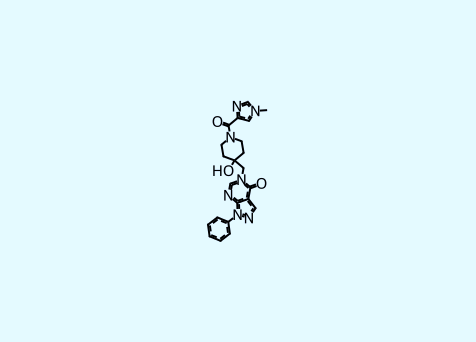 Cn1cnc(C(=O)N2CCC(O)(Cn3cnc4c(cnn4-c4ccccc4)c3=O)CC2)c1